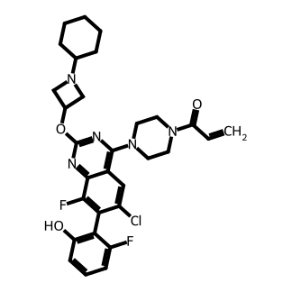 C=CC(=O)N1CCN(c2nc(OC3CN(C4CCCCC4)C3)nc3c(F)c(-c4c(O)cccc4F)c(Cl)cc23)CC1